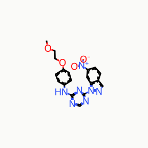 COCCOc1ccc(Nc2ncnc(-n3ncc4ccc([N+](=O)[O-])cc43)n2)cc1